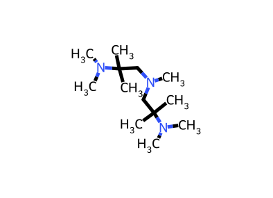 CN(CC(C)(C)N(C)C)CC(C)(C)N(C)C